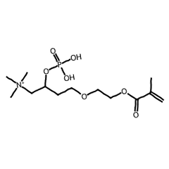 C=C(C)C(=O)OCCOCCC(C[N+](C)(C)C)OP(=O)(O)O